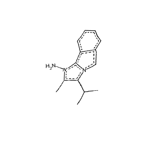 Cc1c(C(C)C)n2cc3ccccc3c2n1N